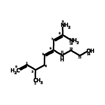 C=CC(C)C/C=C(/C=C(N)N)NCCO